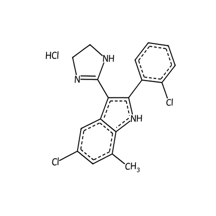 Cc1cc(Cl)cc2c(C3=NCCN3)c(-c3ccccc3Cl)[nH]c12.Cl